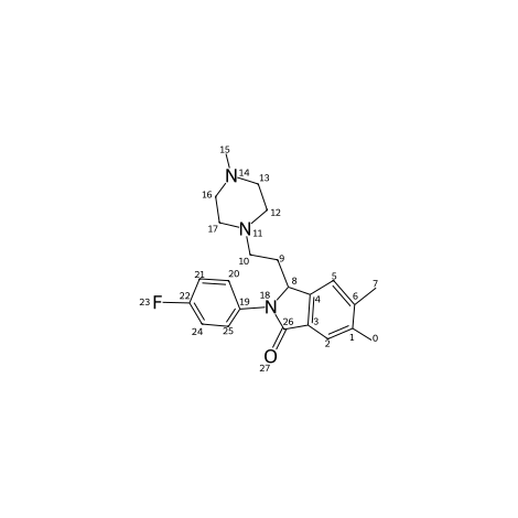 Cc1cc2c(cc1C)C(CCN1CCN(C)CC1)N(c1ccc(F)cc1)C2=O